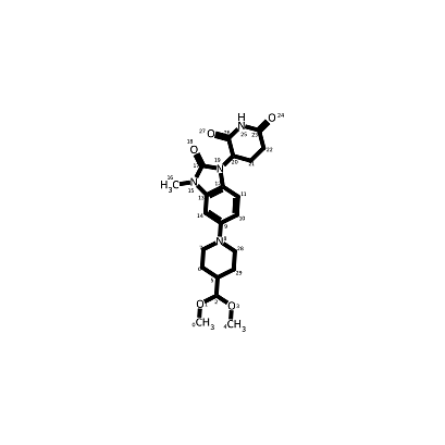 COC(OC)C1CCN(c2ccc3c(c2)n(C)c(=O)n3C2CCC(=O)NC2=O)CC1